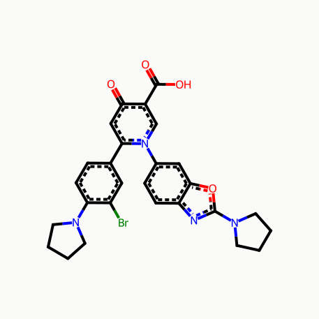 O=C(O)c1cn(-c2ccc3nc(N4CCCC4)oc3c2)c(-c2ccc(N3CCCC3)c(Br)c2)cc1=O